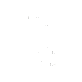 Nc1ncnc2c1ncn2C#C[C@@H]1O[C@H](CO)C(O)C1O